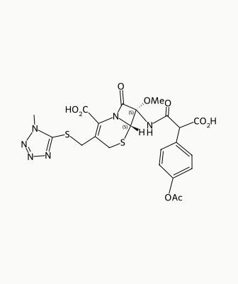 CO[C@@]1(NC(=O)C(C(=O)O)c2ccc(OC(C)=O)cc2)C(=O)N2C(C(=O)O)=C(CSc3nnnn3C)CS[C@H]21